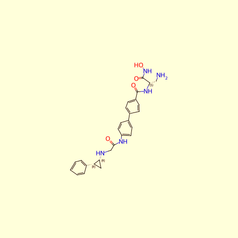 NC[C@H](NC(=O)c1ccc(-c2ccc(NC(=O)CN[C@@H]3C[C@@H]3c3ccccc3)cc2)cc1)C(=O)NO